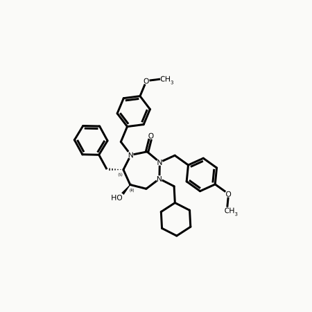 COc1ccc(CN2C(=O)N(Cc3ccc(OC)cc3)N(CC3CCCCC3)C[C@@H](O)[C@@H]2Cc2ccccc2)cc1